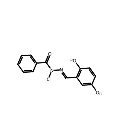 O=C(c1ccccc1)N(Cl)N=Cc1cc(O)ccc1O